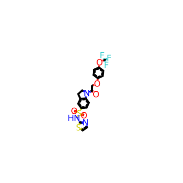 O=C(COc1ccc(OC(F)(F)F)cc1)N1CCc2cc(S(=O)(=O)Nc3nccs3)ccc21